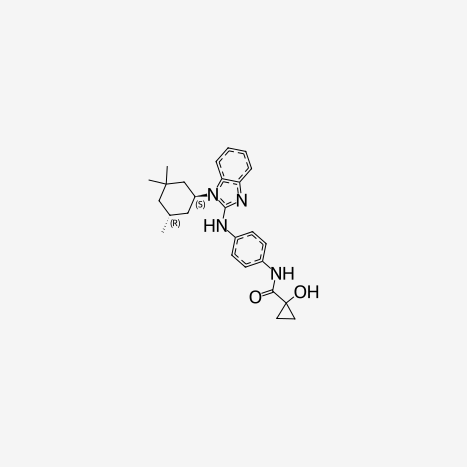 C[C@H]1C[C@H](n2c(Nc3ccc(NC(=O)C4(O)CC4)cc3)nc3ccccc32)CC(C)(C)C1